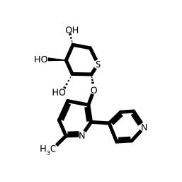 Cc1ccc(O[C@H]2SC[C@@H](O)[C@H](O)[C@H]2O)c(-c2ccncc2)n1